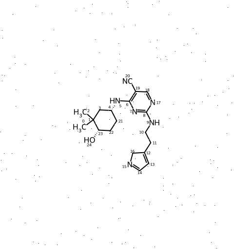 CC1(C)C[C@H](Nc2nc(NCCC3=CC=NC3)ncc2C#N)CC[C@@H]1O